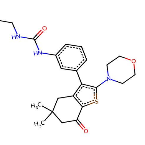 CCNC(=O)Nc1cccc(-c2c(N3CCOCC3)sc3c2CC(C)(C)CC3=O)c1